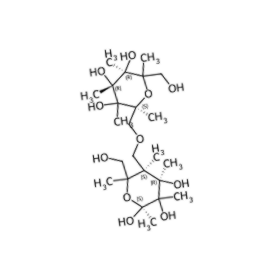 CC1(CO)O[C@@](C)(COC[C@]2(C)C(C)(CO)O[C@](C)(O)C(C)(O)[C@]2(C)O)C(C)(O)[C@](C)(O)[C@@]1(C)O